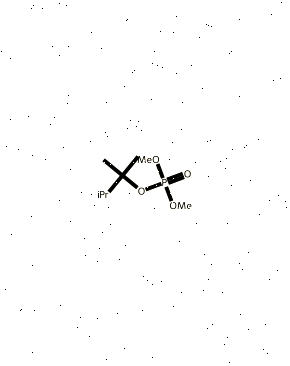 COP(=O)(OC)OC(C)(C)C(C)C